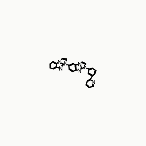 c1ccc(-c2cccc(-n3ccn4c5cc(-n6ccn7c8ccccc8nc67)ccc5nc34)c2)nc1